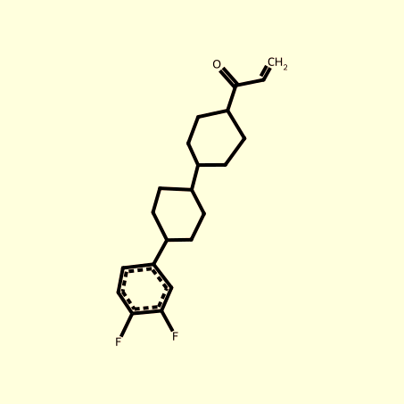 C=CC(=O)C1CCC(C2CCC(c3ccc(F)c(F)c3)CC2)CC1